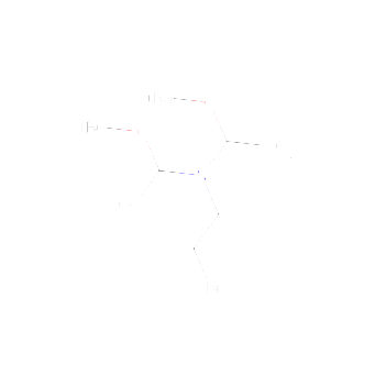 CC(C)(C)OC(C(=O)O)N(CCBr)C(OC(C)(C)C)C(=O)O